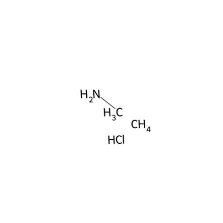 C.CN.Cl